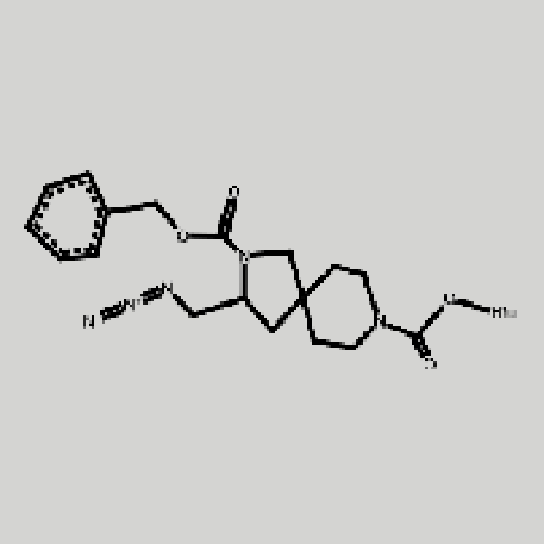 CC(C)(C)OC(=O)N1CCC2(CC1)CC(CN=[N+]=[N-])N(C(=O)OCc1ccccc1)C2